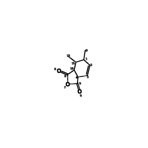 CC1C=CC2C(=O)OC(=O)C2C1C